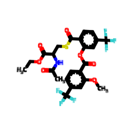 CCOC(=O)C(CSC(=O)c1ccc(C(F)(F)F)cc1OC(=O)c1ccc(C(F)(F)F)cc1OC)NC(C)=O